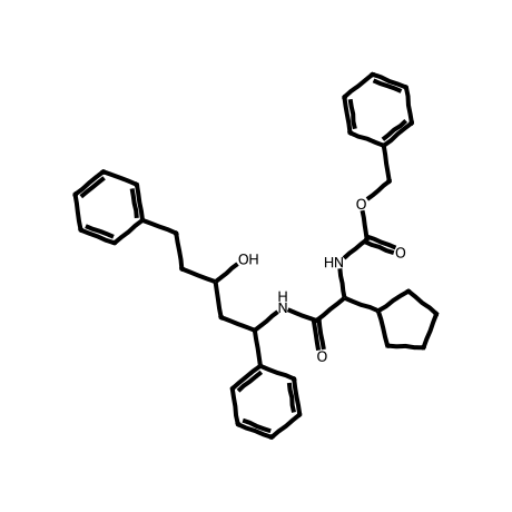 O=C(NC(C(=O)NC(CC(O)CCc1ccccc1)c1ccccc1)C1CCCC1)OCc1ccccc1